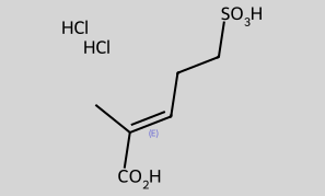 C/C(=C\CCS(=O)(=O)O)C(=O)O.Cl.Cl